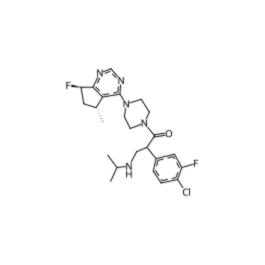 CC(C)NCC(C(=O)N1CCN(c2ncnc3c2[C@H](C)C[C@H]3F)CC1)c1ccc(Cl)c(F)c1